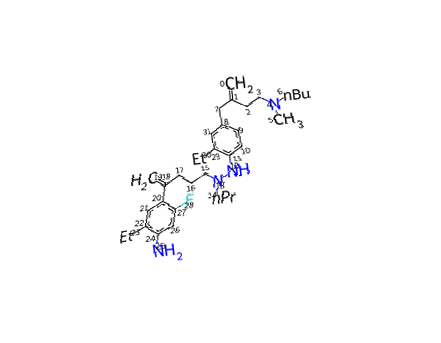 C=C(CCN(C)CCCC)Cc1ccc(NN(CCC)CCCC(=C)c2cc(CC)c(N)cc2F)c(CC)c1